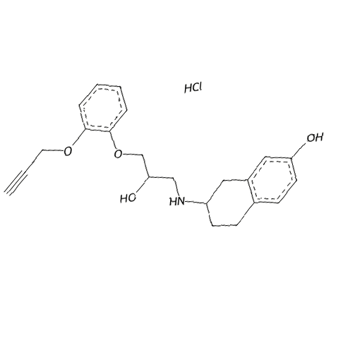 C#CCOc1ccccc1OCC(O)CNC1CCc2ccc(O)cc2C1.Cl